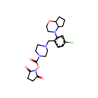 O=C(ON1C(=O)CCC1=O)N1CCN(Cc2ccc(Cl)cc2N2CCOC3CCCC32)CC1